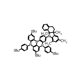 Cc1cc(C)c2c(c1)C1(C)CCc3ccccc3C1(C)N2c1ccc2c(c1)N(c1ccc(C(C)(C)C)cc1)c1cc(C(C)(C)C)cc3c1B2c1cc(C(C)(C)C)ccc1N3c1ccc(C(C)(C)C)cc1